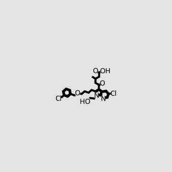 CC(CC(=O)O)CC(=O)c1c(CCCCOCc2cccc(Cl)c2)n(CCO)c2ncc(Cl)cc12